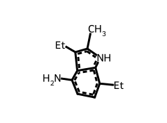 CCc1ccc(N)c2c(CC)c(C)[nH]c12